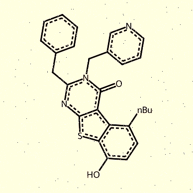 CCCCc1ccc(O)c2sc3nc(Cc4ccccc4)n(Cc4cccnc4)c(=O)c3c12